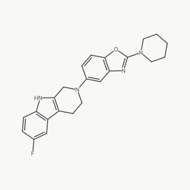 Fc1ccc2[nH]c3c(c2c1)CCN(c1ccc2oc(N4CCCCC4)nc2c1)C3